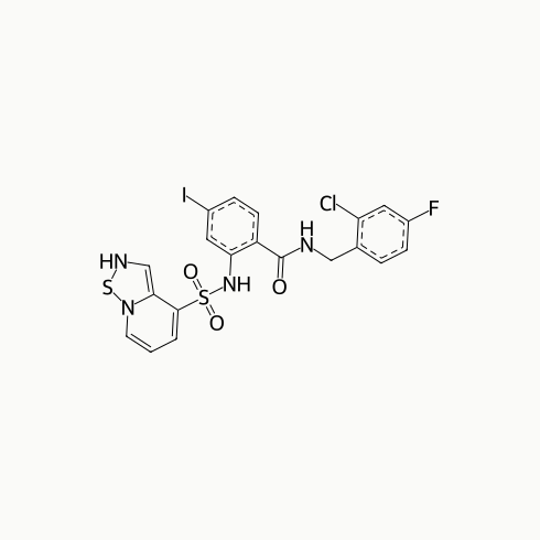 O=C(NCc1ccc(F)cc1Cl)c1ccc(I)cc1NS(=O)(=O)C1=CC=CN2SNC=C12